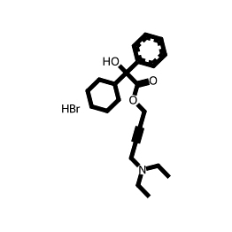 Br.CCN(CC)CC#CCOC(=O)C(O)(c1ccccc1)C1CCCCC1